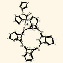 O=C(Oc1ccsc1)C([SiH3])(c1ccsc1)c1cccc2c3nc4nc(nc5[nH]c(nc6nc(nc([nH]3)c12)-c1ccccc1-6)c1ccccc51)-c1ccccc1-4